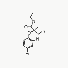 CCOC(=O)C1(C)Oc2ccc(Br)cc2NC1=O